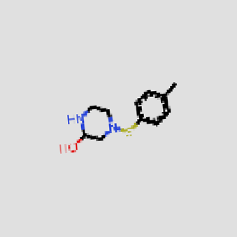 Cc1ccc(SN2CCNC(O)C2)cc1